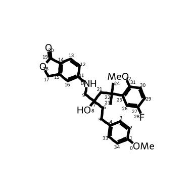 COc1ccc(CCC(O)(CNc2ccc3c(c2)COC3=O)CC(C)(C)c2cc(F)ccc2OC)cc1